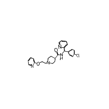 O=C(N[C@H](c1ccc(Cl)cc1)c1ccccn1)C1CCN(CCOc2ccccn2)CC1